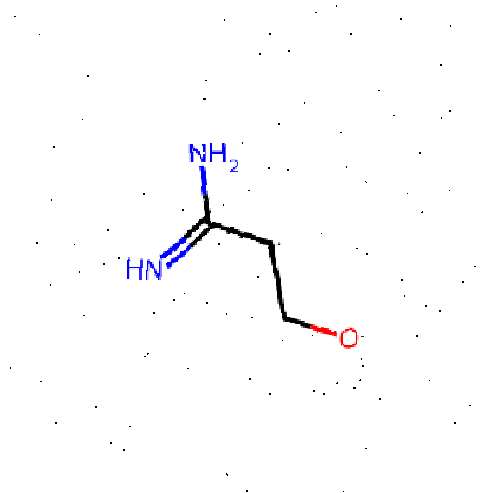 N=C(N)[CH]C[O]